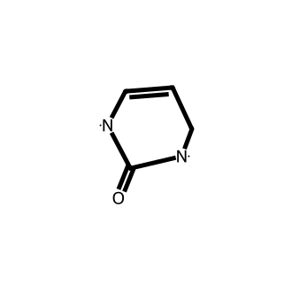 O=C1[N]C=CC[N]1